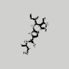 CCC(C)C(Oc1ncc(C(=O)NC(C)CO)s1)c1cnoc1C